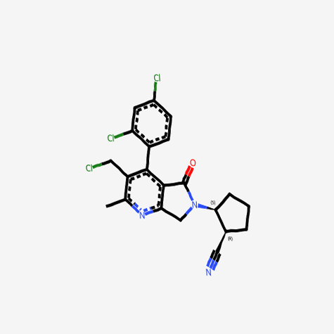 Cc1nc2c(c(-c3ccc(Cl)cc3Cl)c1CCl)C(=O)N([C@H]1CCC[C@H]1C#N)C2